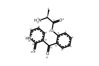 C[C@H](N)C(=O)Oc1ccccc1C(=O)c1ccc[nH]c1=S